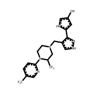 N#Cc1c[nH]c(-c2n[nH]cc2CN2CCN(c3ccc(C(F)(F)F)cn3)C(C(F)(F)F)C2)c1